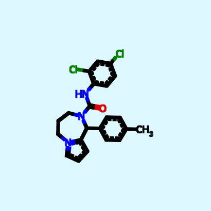 Cc1ccc(C2c3cccn3CCCN2C(=O)Nc2ccc(Cl)cc2Cl)cc1